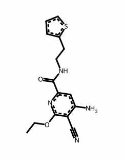 CCOc1nc(C(=O)NCCc2cccs2)cc(N)c1C#N